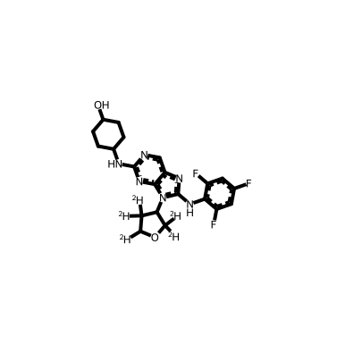 [2H]C1OC([2H])([2H])C(n2c(Nc3c(F)cc(F)cc3F)nc3cnc(NC4CCC(O)CC4)nc32)C1([2H])[2H]